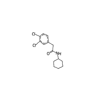 O=C(Cc1ccc(Cl)c(Cl)c1)NC1CCCCC1